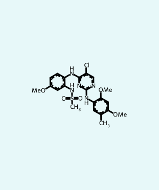 COc1ccc(Nc2nc(Nc3cc(C)c(OC)cc3OC)ncc2Cl)c(NS(C)(=O)=O)c1